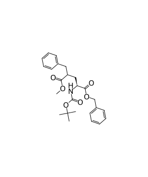 COC(=O)C(Cc1ccccc1)C[C@H](NC(=O)OC(C)(C)C)C(=O)OCc1ccccc1